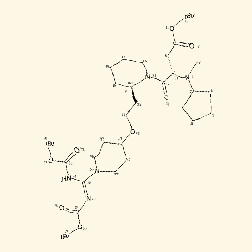 CN(C1CCCC1)[C@@H](CC(=O)OC(C)(C)C)C(=O)N1CCCC[C@@H]1CCOC1CCN(C(=NC(=O)OC(C)(C)C)NC(=O)OC(C)(C)C)CC1